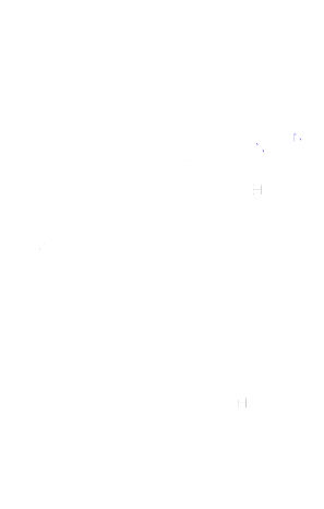 CCCCCCCCCCCCC[C@H](CCCCCCCCC)c1ccccc1C(CC)n1ccnc1